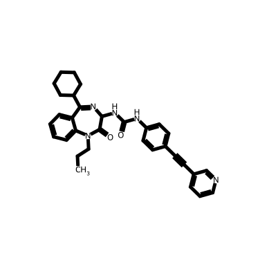 CCCN1C(=O)C(NC(=O)Nc2ccc(C#Cc3cccnc3)cc2)N=C(C2CCCCC2)c2ccccc21